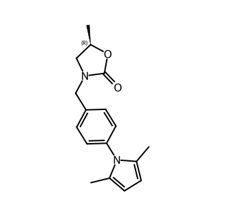 Cc1ccc(C)n1-c1ccc(CN2C[C@@H](C)OC2=O)cc1